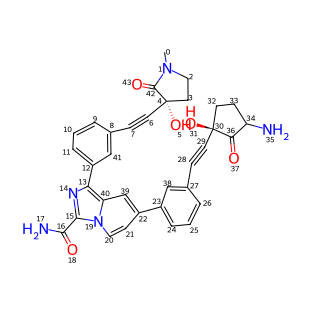 CN1CC[C@@](O)(C#Cc2cccc(-c3nc(C(N)=O)n4ccc(-c5cccc(C#C[C@]6(O)CCC(N)C6=O)c5)cc34)c2)C1=O